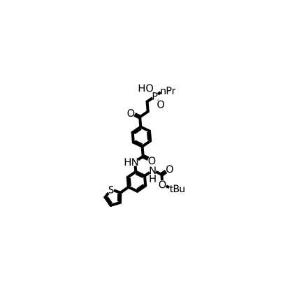 CCCP(=O)(O)CCC(=O)c1ccc(C(=O)Nc2cc(-c3cccs3)ccc2NC(=O)OC(C)(C)C)cc1